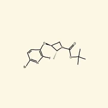 C[C@@H]1[C@@H](Oc2ccc(Br)nc2F)CN1C(=O)OC(C)(C)C